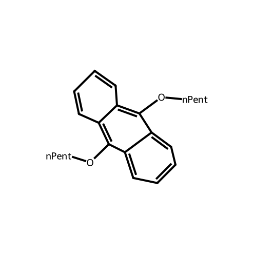 CCCCCOc1c2ccccc2c(OCCCCC)c2ccccc12